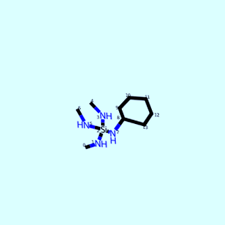 CN[Si](NC)(NC)NC1CCCCC1